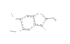 COc1cc2sc([C]=O)c(Cl)c2cc1OC